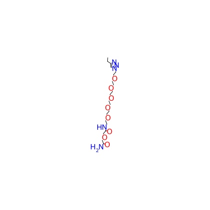 CCc1cn(CCOCCOCCOCCOCCOCCNC(=O)COCC(N)=O)nn1